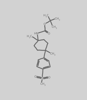 CC1(NC(=O)OC(C)(C)C)CCC(C)(c2ccc(S(C)(=O)=O)cc2)CC1